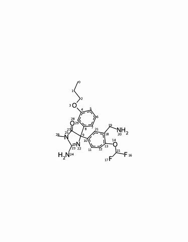 CCCOc1cccc(C2(c3ccc(OC(F)F)c(CN)c3)N=C(N)N(C)C2=O)c1